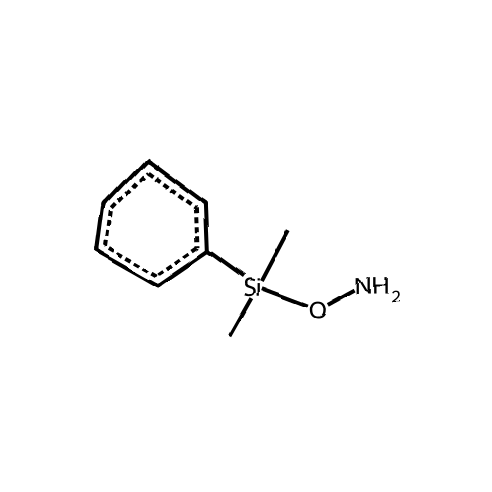 C[Si](C)(ON)c1ccccc1